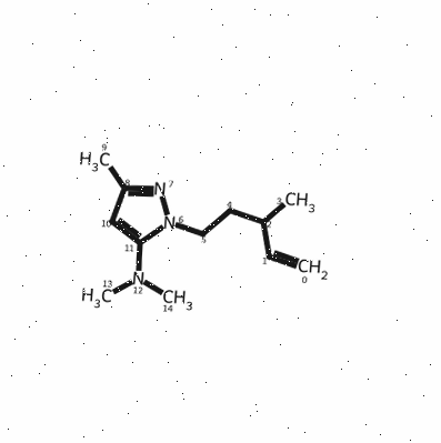 C=CC(C)CCn1nc(C)cc1N(C)C